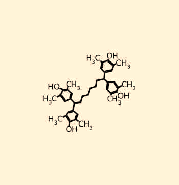 Cc1cc(C(CCCCCCC(c2cc(C)c(O)c(C)c2)c2cc(C)c(O)c(C)c2)c2cc(C)c(O)c(C)c2)cc(C)c1O